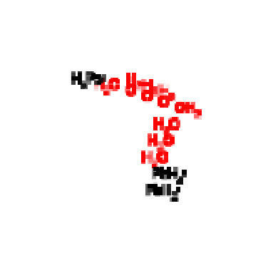 O.O.O.O.O.O.O.O.[PbH2].[PbH2].[PbH2]